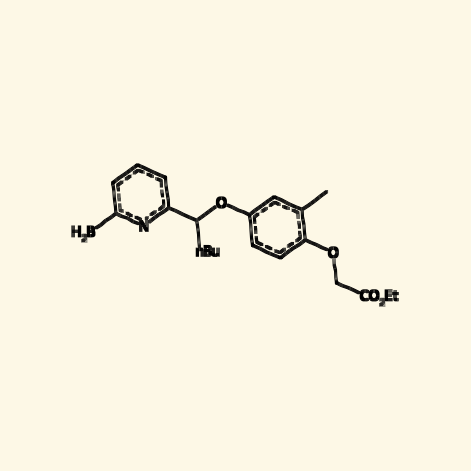 Bc1cccc(C(CCCC)Oc2ccc(OCC(=O)OCC)c(C)c2)n1